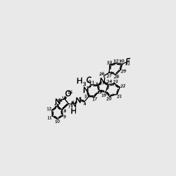 Cc1nc(/C=N/NC2=c3ccccc3=NC2=O)cc2c3ccccc3n(Cc3ccc(F)cc3)c12